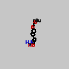 CCCCOCCO[C@@H]1CCc2cc([C@H]3CC[C@](N)(CO)C3)ccc2C1